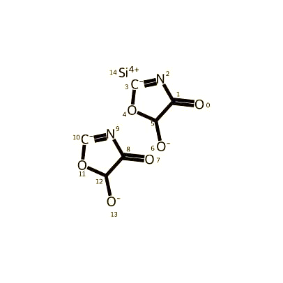 O=C1N=[C-]OC1[O-].O=C1N=[C-]OC1[O-].[Si+4]